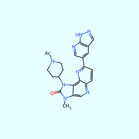 CC(=O)N1CCC(n2c(=O)n(C)c3cnc4ccc(-c5cnc6[nH]ncc6c5)nc4c32)CC1